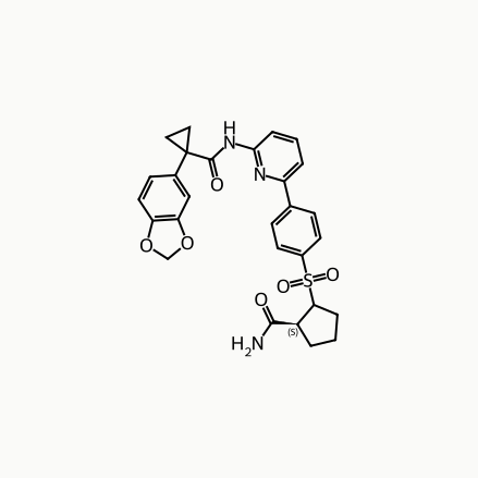 NC(=O)[C@@H]1CCCC1S(=O)(=O)c1ccc(-c2cccc(NC(=O)C3(c4ccc5c(c4)OCO5)CC3)n2)cc1